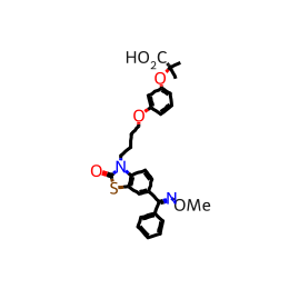 CON=C(c1ccccc1)c1ccc2c(c1)sc(=O)n2CCCCOc1cccc(OC(C)(C)C(=O)O)c1